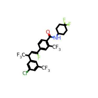 O=C(NC1CCC(F)(F)CC1)c1ccc(/C(F)=C/C(c2cc(Cl)cc(C(F)(F)F)c2)C(F)(F)F)cc1C(F)(F)F